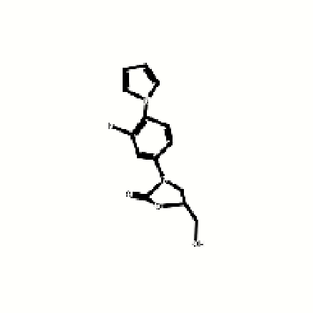 O=C1OC(CO)CN1c1ccc(-n2cccc2)c(F)c1